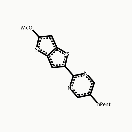 CCCCCc1cnc(-c2cc3sc(OC)cc3s2)nc1